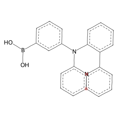 OB(O)c1cccc(N(c2ccccn2)c2ccccc2-c2ccccc2)c1